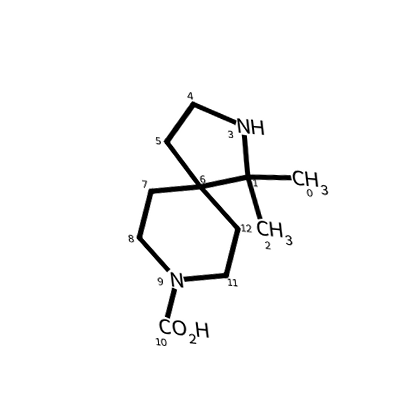 CC1(C)NCCC12CCN(C(=O)O)CC2